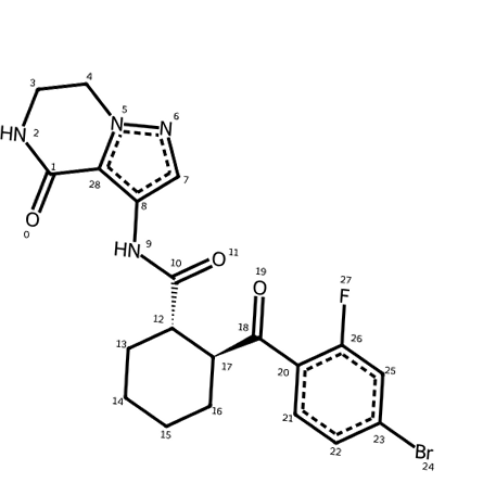 O=C1NCCn2ncc(NC(=O)[C@H]3CCCC[C@@H]3C(=O)c3ccc(Br)cc3F)c21